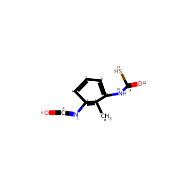 Cc1c(N=C=O)cccc1NC(=O)S